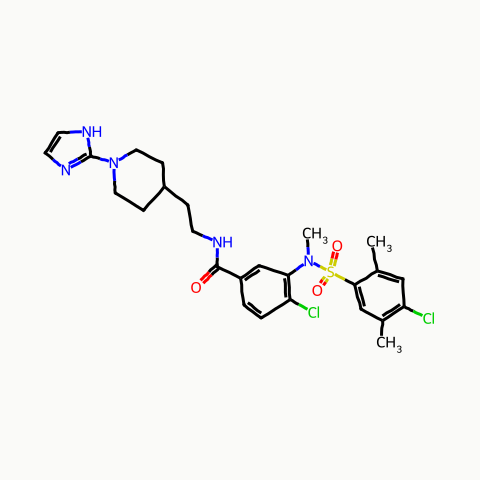 Cc1cc(S(=O)(=O)N(C)c2cc(C(=O)NCCC3CCN(c4ncc[nH]4)CC3)ccc2Cl)c(C)cc1Cl